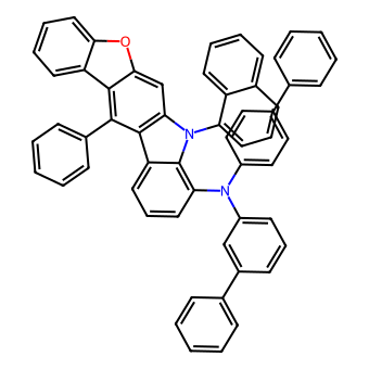 c1ccc(-c2ccc(N(c3cccc(-c4ccccc4)c3)c3cccc4c5c(-c6ccccc6)c6c(cc5n(-c5cccc7ccccc57)c34)oc3ccccc36)cc2)cc1